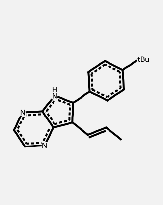 C/C=C/c1c(-c2ccc(C(C)(C)C)cc2)[nH]c2nccnc12